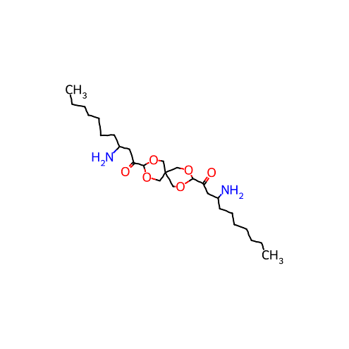 CCCCCCCC(N)CC(=O)C1OCC2(CO1)COC(C(=O)CC(N)CCCCCCC)OC2